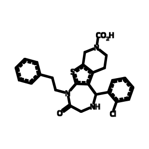 O=C(O)N1CCc2c(sc3c2C(c2ccccc2Cl)NCC(=O)N3CCc2ccccc2)C1